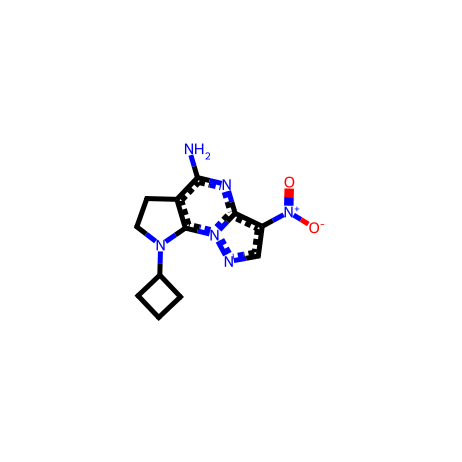 Nc1nc2c([N+](=O)[O-])cnn2c2c1CCN2C1CCC1